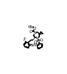 CNc1cccc(F)c1CC[C@H]1CN(C(=O)OC(C)(C)C)CC2(CC2)CN1S(=O)(=O)c1ccccc1